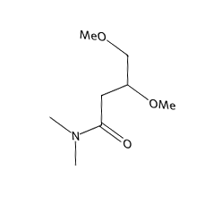 COCC(CC(=O)N(C)C)OC